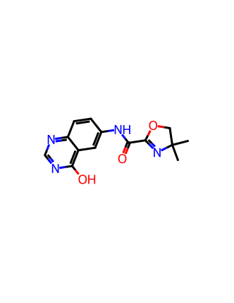 CC1(C)COC(C(=O)Nc2ccc3ncnc(O)c3c2)=N1